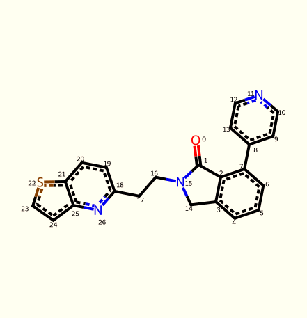 O=C1c2c(cccc2-c2ccncc2)CN1CCc1ccc2sccc2n1